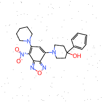 O=[N+]([O-])c1c(N2CCCCC2)cc(N2CCC(O)(c3ccccc3)CC2)c2nonc12